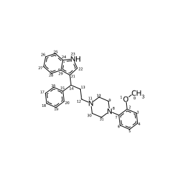 COc1ccccc1N1CCN(CCC(c2ccccc2)c2c[nH]c3ccccc23)CC1